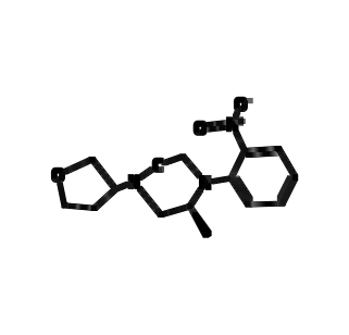 C[C@H]1CN(C2CCOC2)CCN1c1ccccc1[N+](=O)[O-]